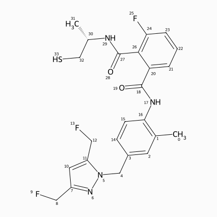 Cc1cc(Cn2nc(CF)cc2CF)ccc1NC(=O)c1cccc(F)c1C(=O)N[C@@H](C)CS